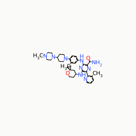 Cc1cc(Nc2nc(NC3CCOC4(CC4)C3)c(-c3ncccc3C)nc2C(N)=O)ccc1N1CCC(N2CCN(C)CC2)CC1